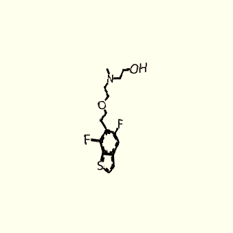 CN(CCO)CCOCCc1c(F)cc2ccsc2c1F